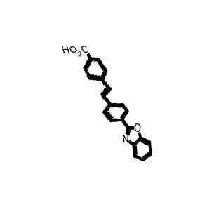 O=C(O)c1ccc(C=Cc2ccc(-c3nc4ccccc4o3)cc2)cc1